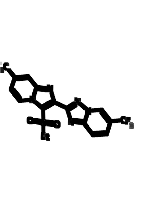 CCS(=O)(=O)c1c(-c2nc3ccc(C(F)(F)F)cn3n2)nc2cc(C(F)(F)F)ccn12